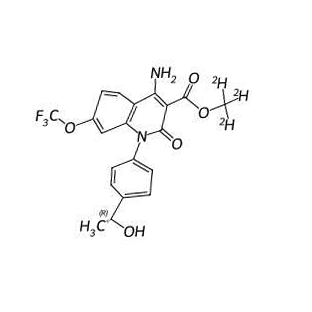 [2H]C([2H])([2H])OC(=O)c1c(N)c2ccc(OC(F)(F)F)cc2n(-c2ccc([C@@H](C)O)cc2)c1=O